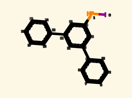 IPc1cc(-c2ccccc2)cc(-c2ccccc2)c1